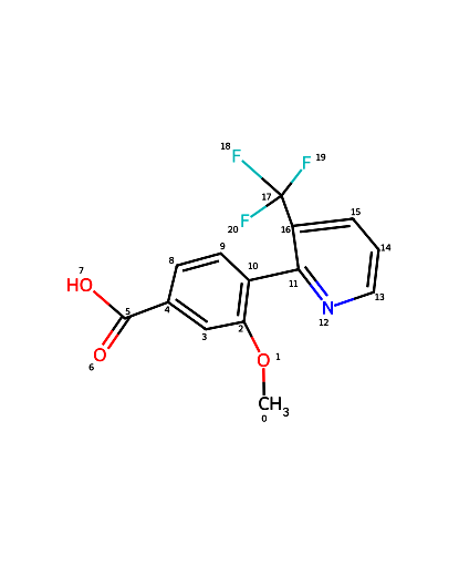 COc1cc(C(=O)O)ccc1-c1ncccc1C(F)(F)F